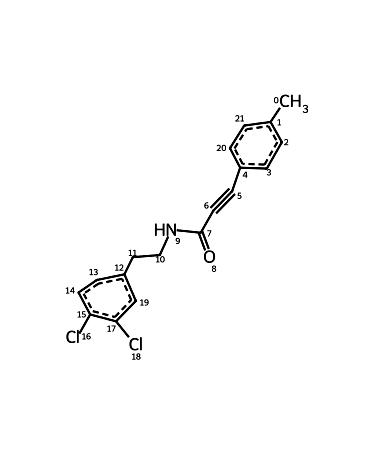 Cc1ccc(C#CC(=O)NCCc2ccc(Cl)c(Cl)c2)cc1